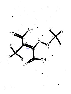 CC(C)(C)OO/C(C(=O)O)=C(\C(=O)O)C(C)(C)C